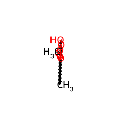 CCCCCCCCCCCCCCCCOOCC(COCCOCCO)OC